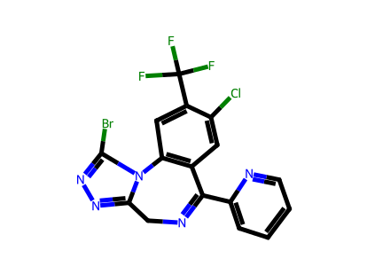 FC(F)(F)c1cc2c(cc1Cl)C(c1ccccn1)=NCc1nnc(Br)n1-2